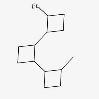 CCC1CCC1C1CCC1C1CCC1C